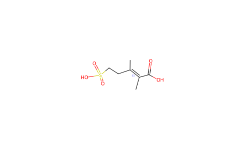 C/C(CCS(=O)(=O)O)=C(/C)C(=O)O